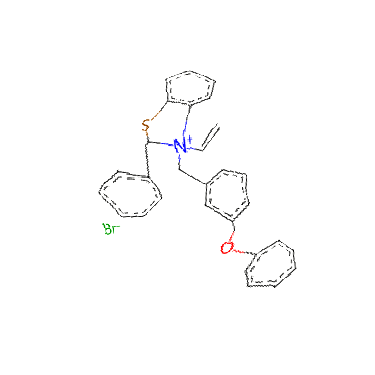 C=C[N+]1(Cc2cccc(Oc3ccccc3)c2)c2ccccc2SC1c1ccccc1.[Br-]